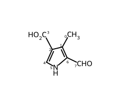 Cc1c(C(=O)O)c[nH]c1C=O